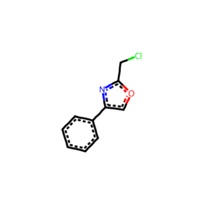 ClCc1nc(-c2ccccc2)co1